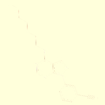 C#Cc1cccc(-n2ncc3c(NCCOCCOC)ncnc32)c1